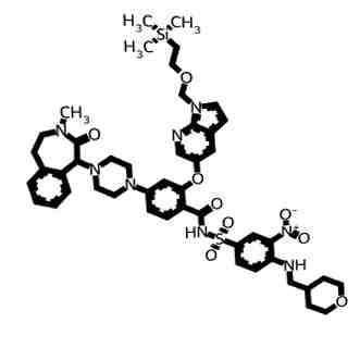 CN1CCc2ccccc2C(N2CCN(c3ccc(C(=O)NS(=O)(=O)c4ccc(NCC5CCOCC5)c([N+](=O)[O-])c4)c(Oc4cnc5c(ccn5COCC[Si](C)(C)C)c4)c3)CC2)C1=O